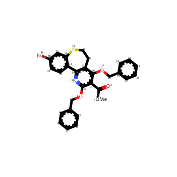 COC(=O)c1c(OCc2ccccc2)nc2c(c1OCc1ccccc1)CCSc1cc(Br)ccc1-2